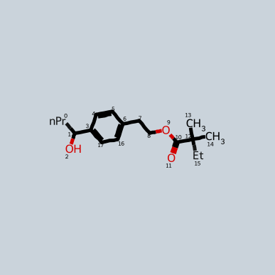 CCCC(O)c1ccc(CCOC(=O)C(C)(C)CC)cc1